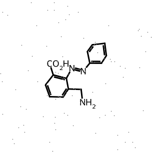 NCc1cccc(C(=O)O)c1N=Nc1ccccc1